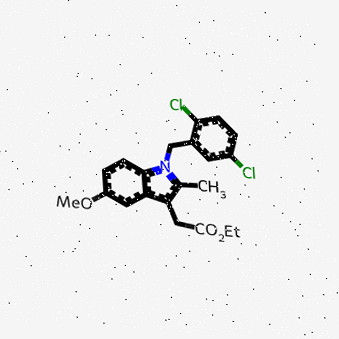 CCOC(=O)Cc1c(C)n(Cc2cc(Cl)ccc2Cl)c2ccc(OC)cc12